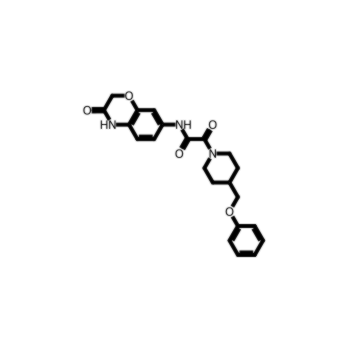 O=C1COc2cc(NC(=O)C(=O)N3CCC(COc4ccccc4)CC3)ccc2N1